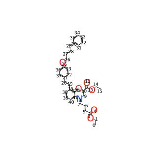 CCOC(=O)CCCN1CC(C(=O)OCC)Oc2c(CCc3ccc(OCCCCc4ccccc4)cc3)cccc21